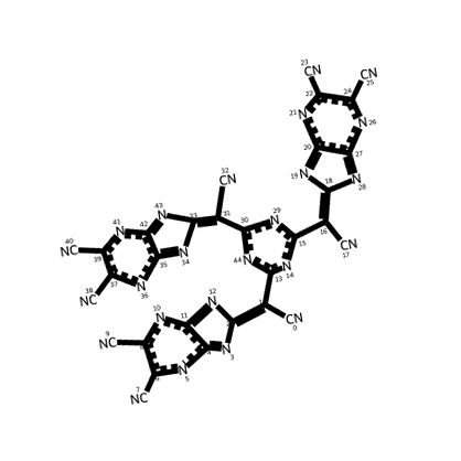 N#CC(=C1N=c2nc(C#N)c(C#N)nc2=N1)c1nc(C(C#N)=C2N=c3nc(C#N)c(C#N)nc3=N2)nc(C(C#N)=C2N=c3nc(C#N)c(C#N)nc3=N2)n1